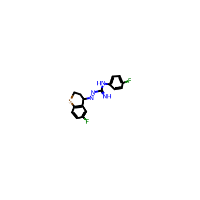 N=C(N=NC1CCSc2ccc(F)cc21)Nc1ccc(F)cc1